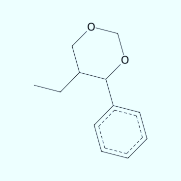 CCC1COCOC1c1ccccc1